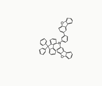 c1ccc(C2(c3ccccc3)c3ccccc3-c3c(N(c4cccc(-c5ccc6oc7ccccc7c6c5)c4)c4ccc5oc6ccccc6c5c4)cccc32)cc1